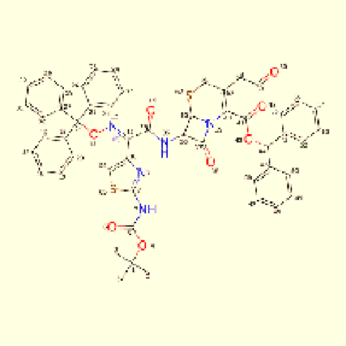 CC(C)(C)OC(=O)Nc1nc(/C(=N\OC(c2ccccc2)(c2ccccc2)c2ccccc2)C(=O)NC2C(=O)N3C(C(=O)OC(c4ccccc4)c4ccccc4)=C(CC=O)CSC23)cs1